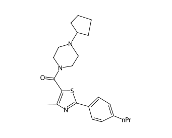 CCCc1ccc(-c2nc(C)c(C(=O)N3CCN(C4CCCC4)CC3)s2)cc1